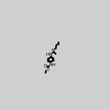 C/C=C/C/N=C(\C)Nc1ccc(NC(=O)OCC)cc1